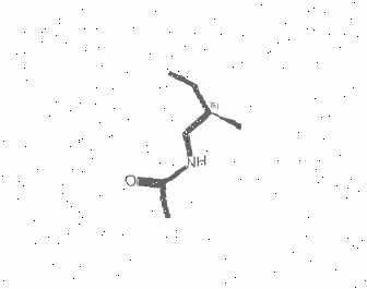 CC[C@@H](C)CNC(C)=O